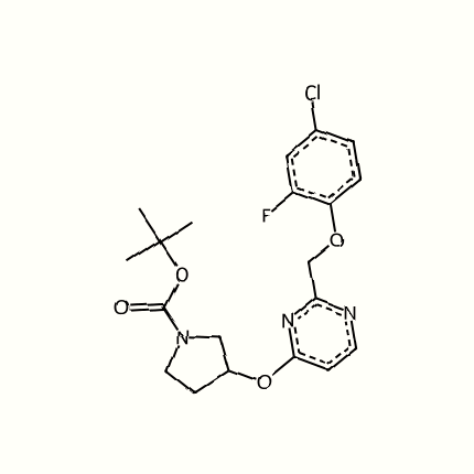 CC(C)(C)OC(=O)N1CCC(Oc2ccnc(COc3ccc(Cl)cc3F)n2)C1